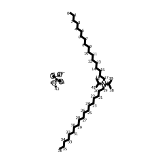 CCCCCCCCCCCCCCCCCC[N+](CCCCCCCCCCCCCCCCCC)(C(C)C)C(C)C.COS(=O)(=O)[O-]